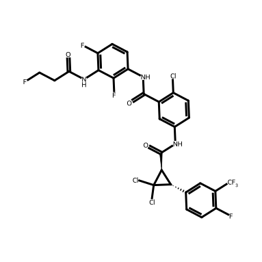 O=C(CCF)Nc1c(F)ccc(NC(=O)c2cc(NC(=O)[C@H]3[C@H](c4ccc(F)c(C(F)(F)F)c4)C3(Cl)Cl)ccc2Cl)c1F